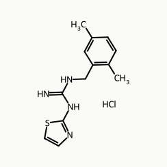 Cc1ccc(C)c(CNC(=N)Nc2nccs2)c1.Cl